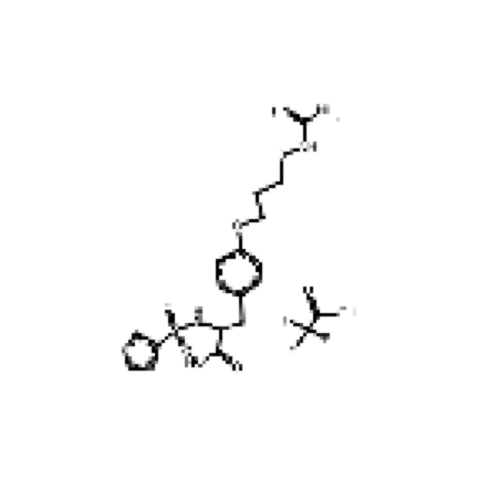 N=C(N)NOCCCOc1ccc(C[C@H](NS(=O)(=O)c2ccsc2)C(=O)O)cc1.O=C(O)C(F)(F)F